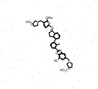 COc1nc(O[C@@H]2CCc3c(-c4cccc(-c5nc6cc(CN7CC[C@@H](C(=O)O)C7)cc(C#N)c6o5)c4F)cccc32)ccc1CN1CC[C@@H](O)C1